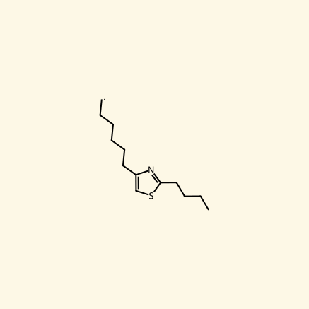 [CH2]CCCCCc1csc(CCCC)n1